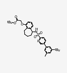 Cc1cc(-c2ccc(S(=O)(=O)NC3CCCCc4c(OCC(=O)OC(C)(C)C)cccc43)nc2)cc(C(C)(C)C)c1